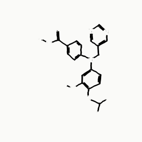 CCOc1cc(N(Cc2cncnc2)c2ccc(C(=O)OC(C)(C)C)cc2)ccc1OC(F)F